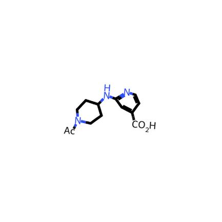 CC(=O)N1CCC(Nc2cc(C(=O)O)ccn2)CC1